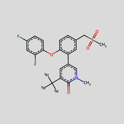 [2H]C([2H])([2H])c1cc(-c2cc(CS(C)(=O)=O)ccc2Oc2ccc(F)cc2F)cn(C)c1=O